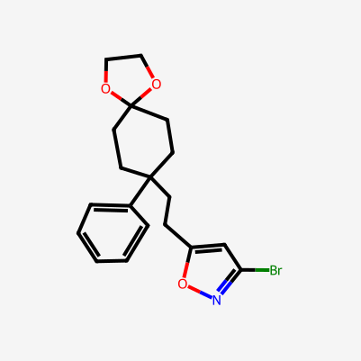 Brc1cc(CCC2(c3ccccc3)CCC3(CC2)OCCO3)on1